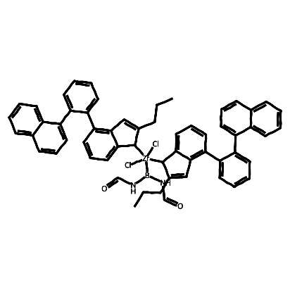 CCCC1=Cc2c(-c3ccccc3-c3cccc4ccccc34)cccc2[CH]1[Zr]([Cl])([Cl])([B](NC=O)NC=O)[CH]1C(CCC)=Cc2c(-c3ccccc3-c3cccc4ccccc34)cccc21